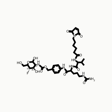 CC(C)C(NC(=O)CCCCCN1C(=O)C=CC1=O)C(=O)NC(CCCNC(N)=O)C(=O)Nc1ccc(COC(=O)N[C@H]2C(O)OC(CO)[C@@H](F)[C@@H]2O)cc1